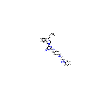 CCCCN1CCN(c2cc(N)nc(NC[C@H]3CC[C@H](CNCCCNC4CCCCC4)CC3)n2)CC1c1ccccc1